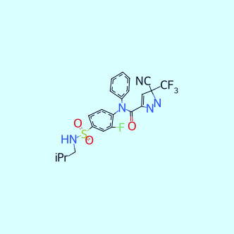 CC(C)CNS(=O)(=O)c1ccc(N(C(=O)C2=CC(C#N)(C(F)(F)F)N=N2)c2ccccc2)c(F)c1